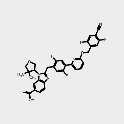 CC1(C)COCC1n1c(Cc2cc(F)c(-c3cccc(OCc4cc(F)c(C#N)cc4F)n3)cc2F)nc2ccc(C(=O)O)cc21